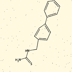 NC(=S)NCc1ccc(-c2ccccc2)cc1